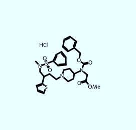 COC(=O)CN(C(=O)OCc1ccccc1)C1CCN(CCC(CN(C)S(=O)(=O)c2ccccc2)c2cccs2)CC1.Cl